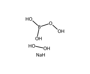 OO.OOB(O)O.[NaH]